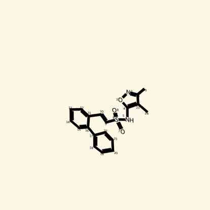 Cc1noc(NS(=O)(=O)C=Cc2ccccc2-c2ccccc2)c1C